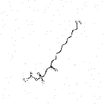 CCCCCCCCCCCC(=O)CCS(=O)(=O)ONC